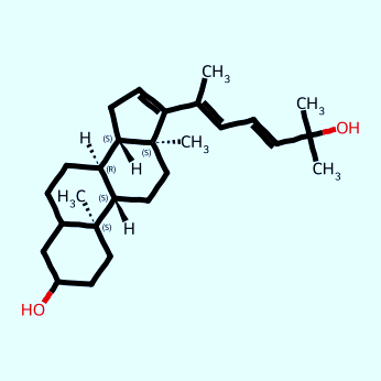 CC(=CC=CC(C)(C)O)C1=CC[C@H]2[C@@H]3CCC4CC(O)CC[C@]4(C)[C@H]3CC[C@]12C